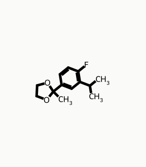 CC(C)c1cc(C2(C)OCCO2)ccc1F